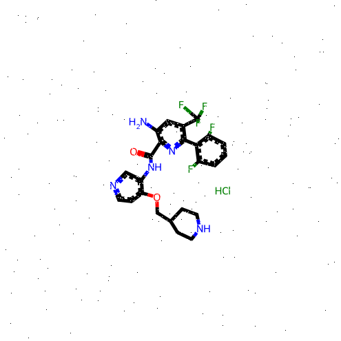 Cl.Nc1cc(C(F)(F)F)c(-c2c(F)cccc2F)nc1C(=O)Nc1cnccc1OCC1CCNCC1